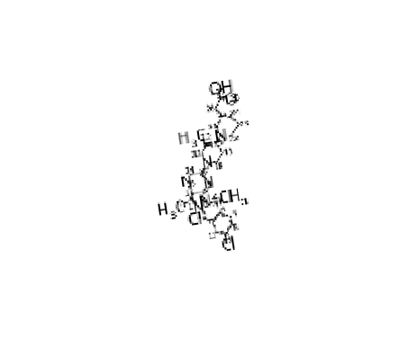 Cc1nn([C@H](C)c2ccc(Cl)cc2Cl)c2nc(N3CCC(N4CCCC(CC(=O)O)C4)[C@H](C)C3)cnc12